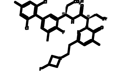 Cc1cc(Cl)c(-c2cc(C)c(F)c([C@H](CC(=O)O)NC(=O)[C@H](CC(C)C)n3nc(CCN4CC(F)C4)cc(C)c3=O)c2)c(Cl)c1